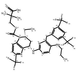 CCCNc1cnc(N[C@H]2C[C@@H](CC)N(C(=O)OCC(C)(C)C(=O)O)c3ccc(C(F)(F)F)nc32)nc1Cc1cc(C(F)(F)F)cc(C(F)(F)F)c1